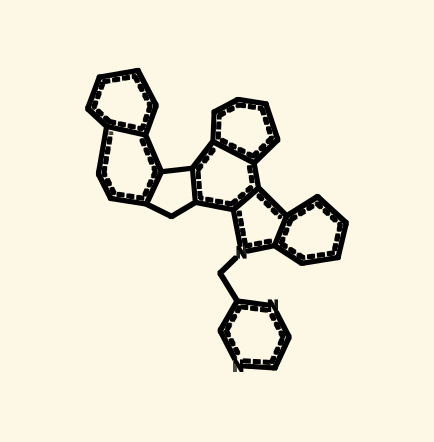 c1ccc2c3c(ccc2c1)Cc1c-3c2ccccc2c2c3ccccc3n(Cc3cnccn3)c12